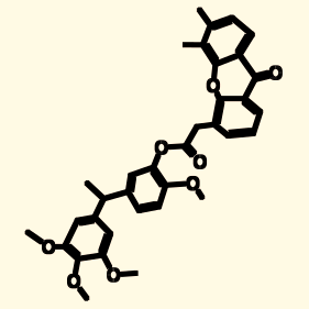 COc1ccc(C(C)c2cc(OC)c(OC)c(OC)c2)cc1OC(=O)Cc1cccc2c(=O)c3ccc(C)c(C)c3oc12